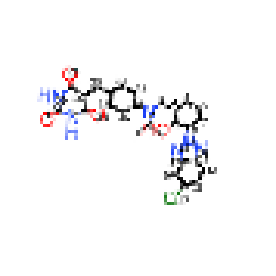 CCN(Cc1cccc(-n2nc3ccc(Cl)cc3n2)c1O)c1ccc(C=C2C(=O)NC(=O)NC2=O)cc1